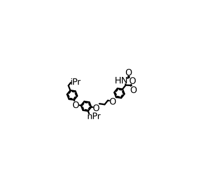 CCCc1cc(Oc2ccc(CC(C)C)cc2)ccc1OCCCOc1ccc(C2NC(=O)OC2=O)cc1